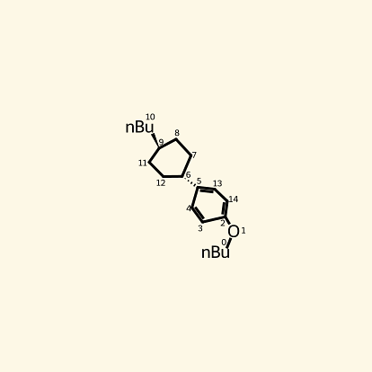 CCCCOc1ccc([C@H]2CC[C@H](CCCC)CC2)cc1